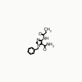 CCC(=O)Nc1ncn(Cc2ccccc2)c1C(N)=O